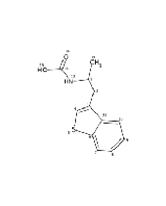 CC(Cc1csc2ccccc12)NC(=O)O